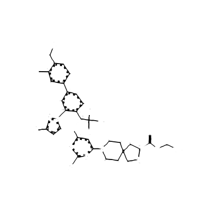 CCOC(=O)[C@@H]1CC2(CCN(c3cc(O[C@H](c4ccc(-c5ccc(CO)c(C)c5)cc4-n4ccc(C)n4)C(F)(F)F)nc(N)n3)CC2)CN1